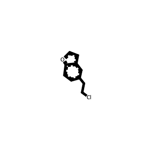 ClCCc1ccc2occc2c1